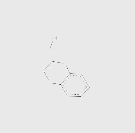 OC[C@H]1COc2cc[c]cc2O1